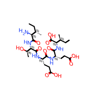 CC[C@H](C)[C@H](N)C(=O)N[C@H](C(=O)N[C@@H](CCC(=O)O)C(=O)N[C@@H](CCC(=O)O)C(=O)N[C@H](C(=O)O)[C@@H](C)CC)[C@@H](C)O